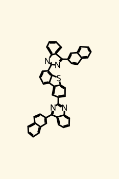 c1ccc2cc(-c3nc(-c4ccc5sc6c(-c7nc(-c8ccc9ccccc9c8)c8ccccc8n7)cccc6c5c4)nc4ccccc34)ccc2c1